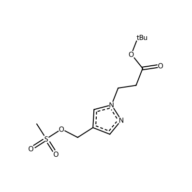 CC(C)(C)OC(=O)CCn1cc(COS(C)(=O)=O)cn1